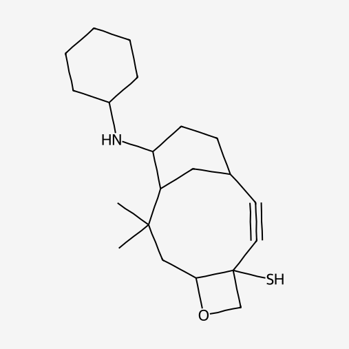 CC1(C)CC2OCC2(S)C#CC2CCC(NC3CCCCC3)C1C2